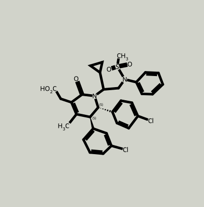 CC1=C(CC(=O)O)C(=O)N(C(CN(c2ccccc2)S(C)(=O)=O)C2CC2)[C@H](c2ccc(Cl)cc2)[C@H]1c1cccc(Cl)c1